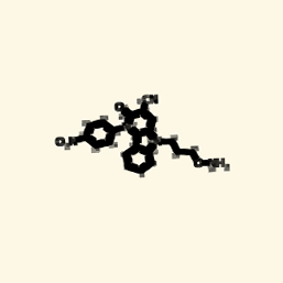 N#Cc1cc2c(c3ccccc3n2CCCON)n(-c2ccc([N+](=O)[O-])cc2)c1=O